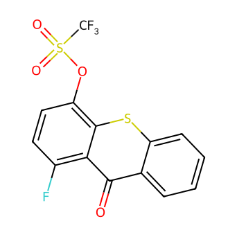 O=c1c2ccccc2sc2c(OS(=O)(=O)C(F)(F)F)ccc(F)c12